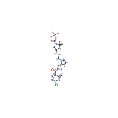 CC(C)(C)OC(=O)N1CC(CCCn2nccc2SNC(=O)c2ccc(Cl)nc2Cl)CC1(C)C